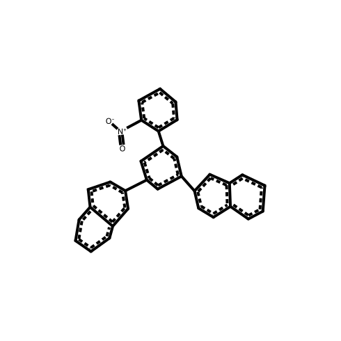 O=[N+]([O-])c1ccccc1-c1cc(-c2ccc3ccccc3c2)cc(-c2ccc3ccccc3c2)c1